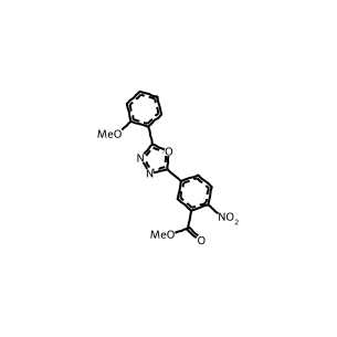 COC(=O)c1cc(-c2nnc(-c3ccccc3OC)o2)ccc1[N+](=O)[O-]